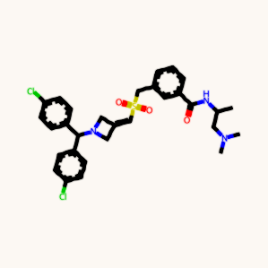 CC(CN(C)C)NC(=O)c1cccc(CS(=O)(=O)C=C2CN(C(c3ccc(Cl)cc3)c3ccc(Cl)cc3)C2)c1